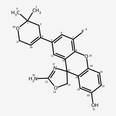 CC1(C)CC(c2cc(F)c3c(c2)C2(COC(N)=N2)c2cc(O)ccc2O3)=CCO1